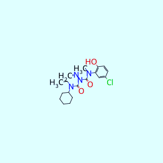 C=NN(C(=O)N(C)c1cc(Cl)ccc1O)C(=O)N(CC)C1CCCCC1